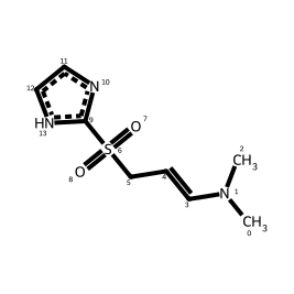 CN(C)C=CCS(=O)(=O)c1ncc[nH]1